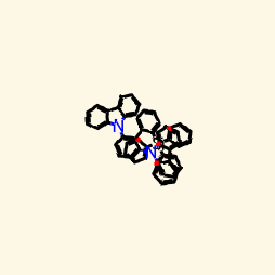 c1ccc([Si](c2ccccc2)(c2ccccc2)c2ccccc2-c2c(-n3c4ccccc4c4ccccc43)cccc2-n2c3ccccc3c3ccccc32)cc1